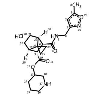 Cc1cc(CNC(=O)[C@H]2[C@H](C(=O)OC3CCCNC3)[C@H]3CC[C@@H]2C32CC2)no1.Cl